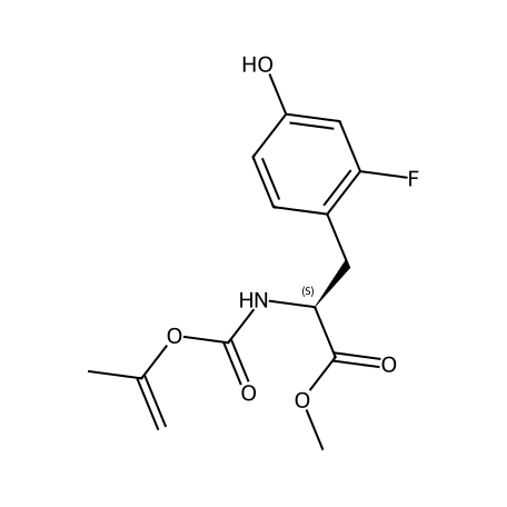 C=C(C)OC(=O)N[C@@H](Cc1ccc(O)cc1F)C(=O)OC